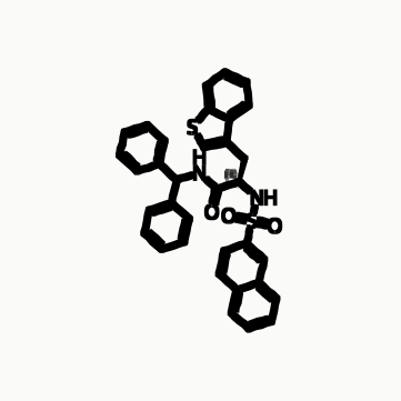 O=C(NC(c1ccccc1)c1ccccc1)[C@@H](Cc1csc2ccccc12)NS(=O)(=O)c1ccc2ccccc2c1